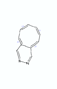 C1=C\C=c2\cnnc\c2=C\C=C/1